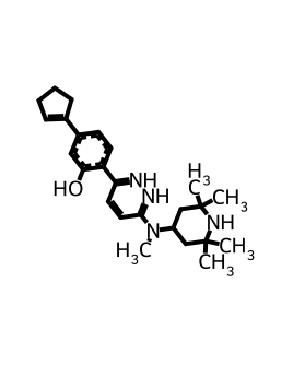 CN(C(=N)/C=C\C(=N)c1ccc(C2=CCCC2)cc1O)C1CC(C)(C)NC(C)(C)C1